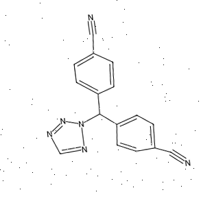 N#Cc1ccc(C(c2ccc(C#N)cc2)n2ncnn2)cc1